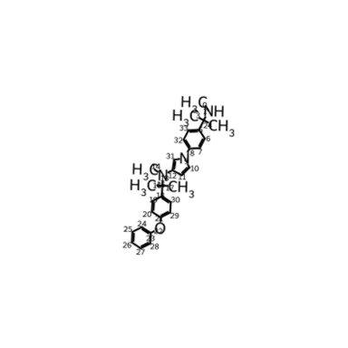 CNC(C)(C)c1ccc(-n2ccc(N(C)C(C)(C)c3ccc(Oc4ccccc4)cc3)c2)cc1